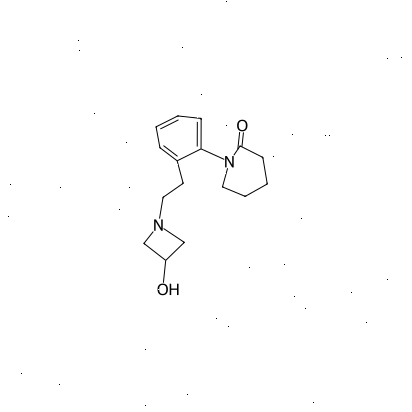 O=C1CCCCN1c1ccccc1CCN1CC(O)C1